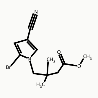 COC(=O)CC(C)(C)Cn1cc(C#N)cc1Br